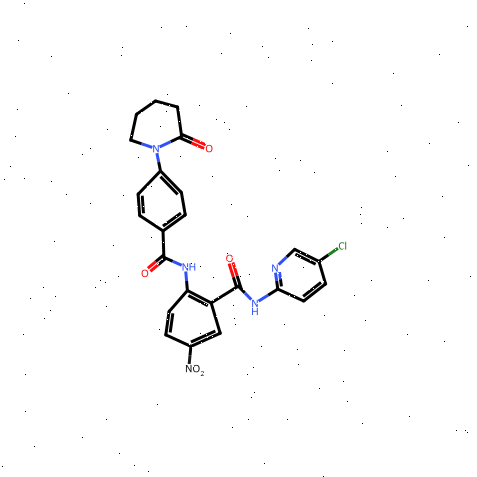 O=C(Nc1ccc([N+](=O)[O-])cc1C(=O)Nc1ccc(Cl)cn1)c1ccc(N2CCCCC2=O)cc1